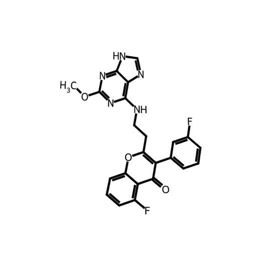 COc1nc(NCCc2oc3cccc(F)c3c(=O)c2-c2cccc(F)c2)c2nc[nH]c2n1